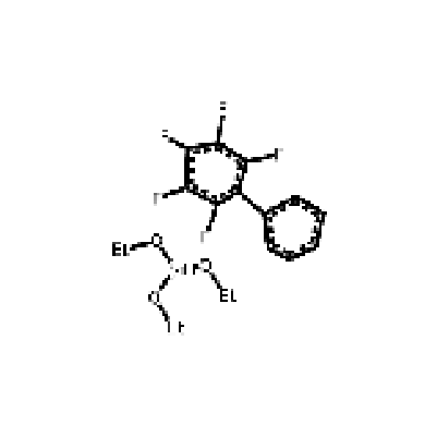 CCO[SiH](OCC)OCC.Fc1c(F)c(F)c(-c2ccccc2)c(F)c1F